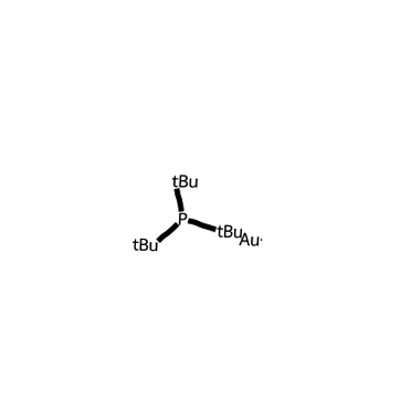 CC(C)(C)P(C(C)(C)C)C(C)(C)C.[Au]